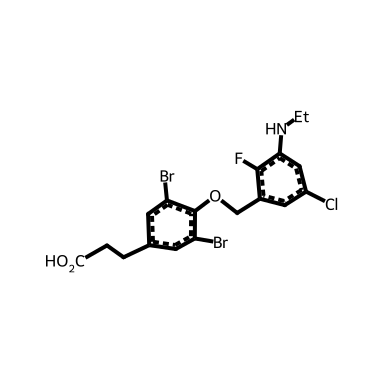 CCNc1cc(Cl)cc(COc2c(Br)cc(CCC(=O)O)cc2Br)c1F